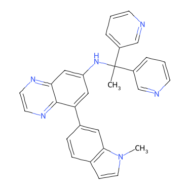 Cn1ccc2ccc(-c3cc(NC(C)(c4cccnc4)c4cccnc4)cc4nccnc34)cc21